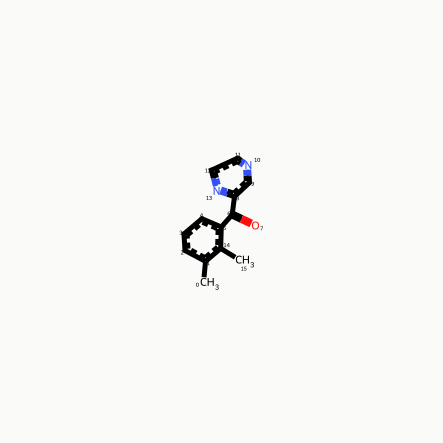 Cc1cccc(C(=O)c2cnccn2)c1C